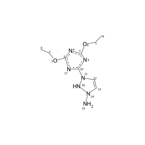 CCOc1nc(OCC)nc(N2C=CN(N)N2)n1